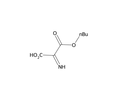 CCCCOC(=O)C(=N)C(=O)O